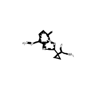 COc1ccc(I)n2nc(C3(C(N)=O)CC3)nc12